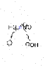 O=C(O)CCCCCCN1C(=O)CC[C@@H]1/C=C/[C@H](O)CCC#Cc1ccccc1